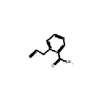 C=CCc1ccccc1C(N)=S